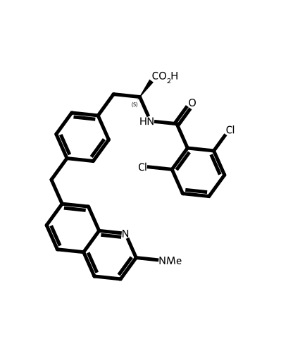 CNc1ccc2ccc(Cc3ccc(C[C@H](NC(=O)c4c(Cl)cccc4Cl)C(=O)O)cc3)cc2n1